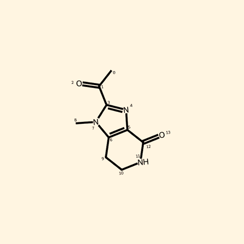 CC(=O)c1nc2c(n1C)CCNC2=O